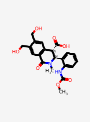 COC(=O)Nc1ccccc1[C@@H]1[C@@H](C(=O)O)c2cc(CO)c(CO)cc2C(=O)N1C